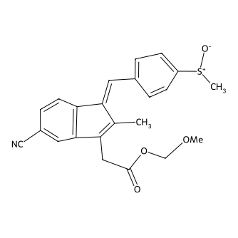 COCOC(=O)CC1=C(C)C(=Cc2ccc([S+](C)[O-])cc2)c2ccc(C#N)cc21